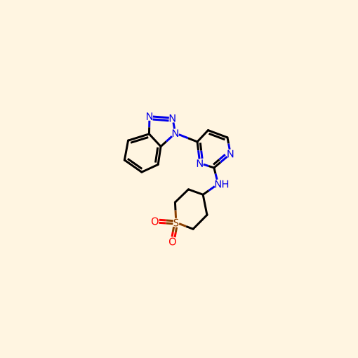 O=S1(=O)CCC(Nc2nccc(-n3nnc4ccccc43)n2)CC1